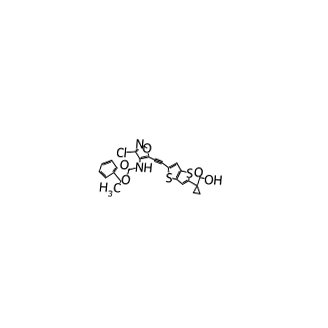 CC(OC(=O)Nc1c(Cl)noc1C#Cc1cc2sc(C3(C(=O)O)CC3)cc2s1)c1ccccc1